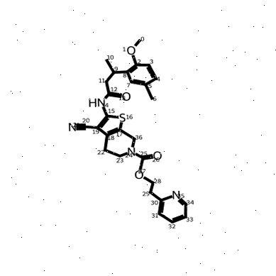 COc1ccc(C)cc1C(C)CC(=O)Nc1sc2c(c1C#N)CCN(C(=O)OCCc1ccccn1)C2